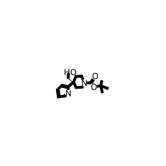 CC[C@@]1(c2ccccn2)CCN(C(=O)OC(C)(C)C)C[C@H]1O